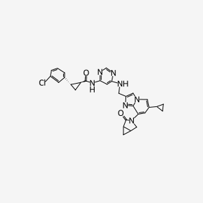 O=C(Nc1cc(NCc2cn3cc(C4CC4)cc(N4CC5CC5C4=O)c3n2)ncn1)[C@H]1C[C@@H]1c1cccc(Cl)c1